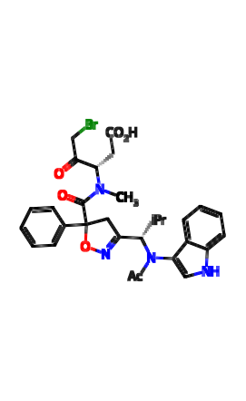 CC(=O)N(c1c[nH]c2ccccc12)[C@H](C1=NOC(C(=O)N(C)[C@@H](CC(=O)O)C(=O)CBr)(c2ccccc2)C1)C(C)C